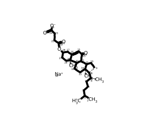 CC(C)CCC[C@@H](C)[C@H]1CCC2C3C(=O)C=C4CC(OC(=O)CCC(=O)[O-])CC[C@]4(C)C3CC[C@@]21C.[Na+]